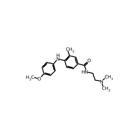 COc1ccc(Nc2ccc(C(=O)NCCN(C)C)cc2C)cc1